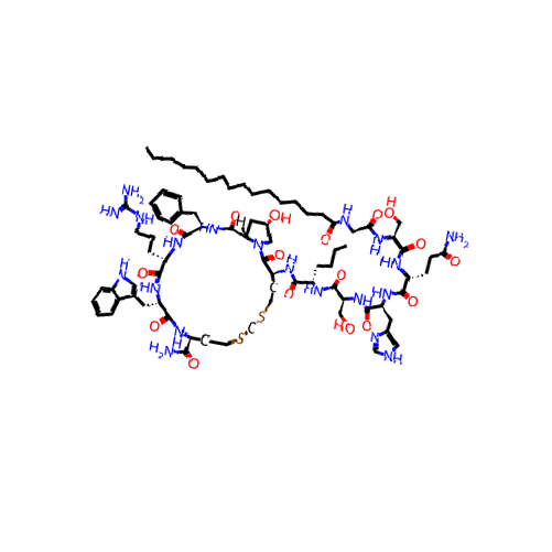 CCCCCCCCCCCCCCCC(=O)NCC(=O)N[C@@H](CO)C(=O)N[C@H](CCC(N)=O)C(=O)N[C@@H](Cc1c[nH]cn1)C(=O)N[C@@H](CO)C(=O)N[C@@H](CCCC)C(=O)N[C@H]1CCSCSCC[C@@H](C(N)=O)NC(=O)[C@H](Cc2c[nH]c3ccccc23)NC(=O)[C@H](CCCNC(=N)N)NC(=O)[C@@H](Cc2ccccc2)NC(=O)[C@@H]2C[C@@H](O)CN2C1=O